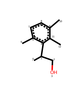 [CH2]C(CO)c1c(C)ccc(C)c1C